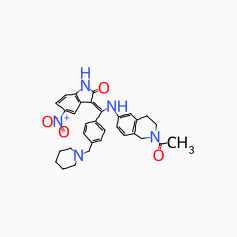 CC(=O)N1CCc2cc(NC(=C3C(=O)Nc4ccc([N+](=O)[O-])cc43)c3ccc(CN4CCCCC4)cc3)ccc2C1